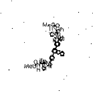 COC(=O)N[C@H](C(=O)N1CCC[C@H]1C1=Nc2cc(-c3ccc(-c4ccc(-c5cnc([C@@H]6CCCN6C(=O)[C@@H](NC(=O)OC)C(C)C)[nH]5)cc4)c4c3CC3(CCCC3)C4)ccc2C2(COC2)N1)C(C)C